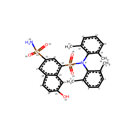 Cc1cccc(C)c1N(c1c(C)cccc1C)S(=O)(=O)c1cc(S(N)(=O)=O)cc2ccc(O)cc12